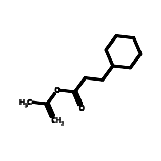 C=C(C)OC(=O)CCC1CCCCC1